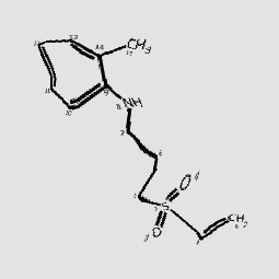 C=CS(=O)(=O)CCCNc1ccccc1C